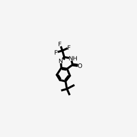 CC(C)(C)c1ccc2nc(C(F)(F)F)[nH]c(=O)c2c1